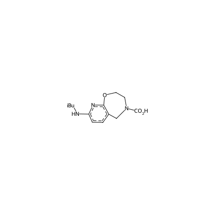 CCC(C)Nc1ccc2c(n1)OCCN(C(=O)O)C2